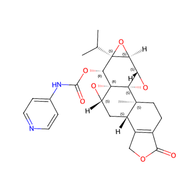 CC(C)[C@]12O[C@H]1[C@@H]1O[C@]13[C@]1(O[C@H]1C[C@H]1C4=C(CC[C@@]13C)C(=O)OC4)[C@@H]2OC(=O)Nc1ccncc1